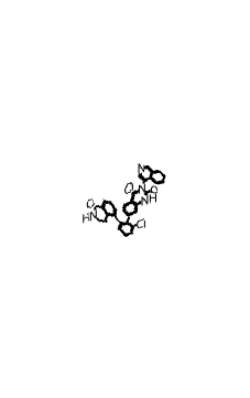 O=C1NCCc2c1cccc2-c1cccc(Cl)c1-c1ccc2c(=O)n(-c3cncc4ccccc34)c(=O)[nH]c2c1